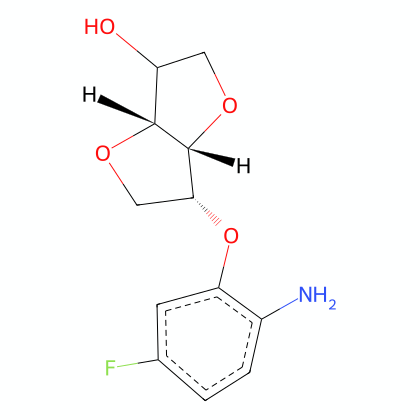 Nc1ccc(F)cc1O[C@@H]1CO[C@@H]2C(O)CO[C@@H]21